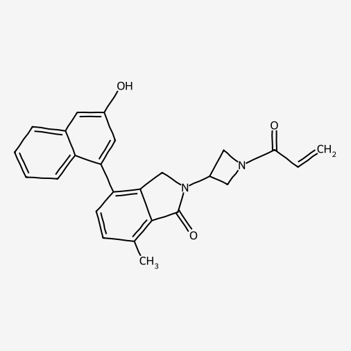 C=CC(=O)N1CC(N2Cc3c(-c4cc(O)cc5ccccc45)ccc(C)c3C2=O)C1